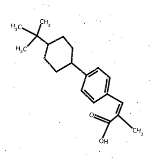 CC(=Cc1ccc(C2CCC(C(C)(C)C)CC2)cc1)C(=O)O